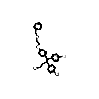 ClCCC(=C(c1ccc(Cl)cc1)c1ccc(OCCOCc2ccccc2)cc1)c1ccc(Cl)cc1